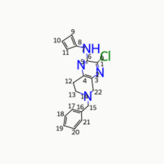 Clc1nc2c(nc1NC1=CC=C1)CCN(Cc1ccccc1)C2